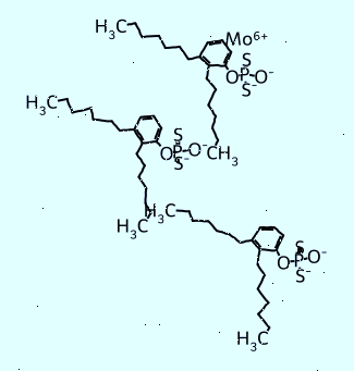 CCCCCCCc1cccc(OP([O-])(=S)[S-])c1CCCCCCC.CCCCCCCc1cccc(OP([O-])(=S)[S-])c1CCCCCCC.CCCCCCCc1cccc(OP([O-])(=S)[S-])c1CCCCCCC.[Mo+6]